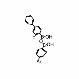 CC(=O)c1ccc(B(O)OB(O)c2ccc(-c3ccccc3)cc2F)cc1